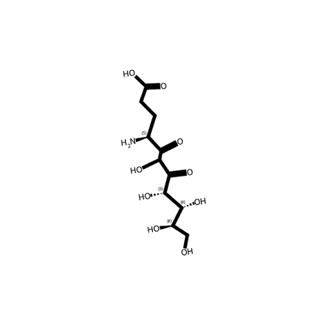 N[C@@H](CCC(=O)O)C(=O)C(O)C(=O)[C@@H](O)[C@H](O)[C@H](O)CO